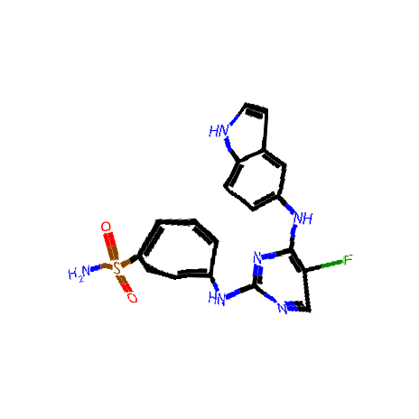 NS(=O)(=O)c1cccc(Nc2ncc(F)c(Nc3ccc4[nH]ccc4c3)n2)c1